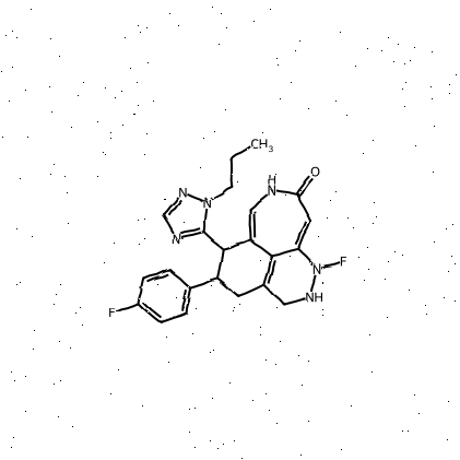 CCCn1ncnc1C1C2=CNC(=O)C=C3C2=C(CNN3F)CC1c1ccc(F)cc1